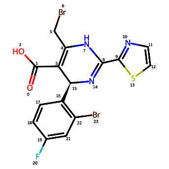 O=C(O)C1=C(CBr)NC(c2nccs2)=N[C@H]1c1ccc(F)cc1Br